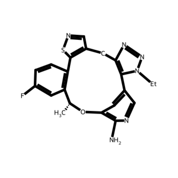 CCn1nnc2c1-c1cnc(N)c(c1)O[C@H](C)c1cc(F)ccc1-c1sncc1C2